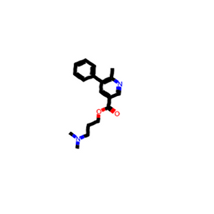 Cc1ncc(C(=O)OCCCN(C)C)cc1-c1ccccc1